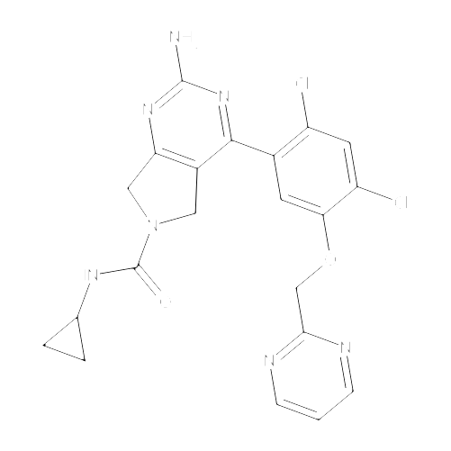 Nc1nc2c(c(-c3cc(OCc4ncccn4)c(Cl)cc3Cl)n1)CN(C(=O)NC1CC1)C2